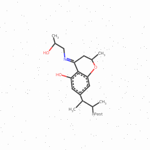 CCCCCC(C)C(C)c1cc(O)c2c(c1)OC(C)CC2=NCC(C)O